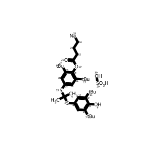 CC(C)(Sc1cc(C(C)(C)C)c(O)c(C(C)(C)C)c1)Sc1cc(C(C)(C)C)c(OC(=O)CC[CH2][Na])c(C(C)(C)C)c1.O=S(=O)(O)O